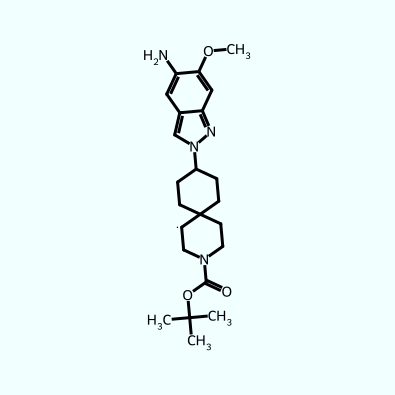 COc1cc2nn(C3CCC4([CH]CN(C(=O)OC(C)(C)C)CC4)CC3)cc2cc1N